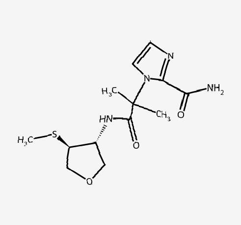 CS[C@@H]1COC[C@H]1NC(=O)C(C)(C)n1c[c]nc1C(N)=O